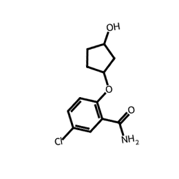 NC(=O)c1cc(Cl)ccc1OC1CCC(O)C1